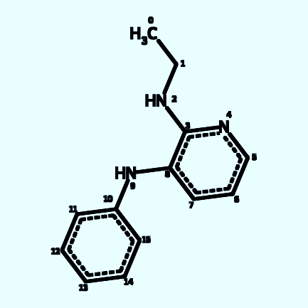 CCNc1ncccc1Nc1ccccc1